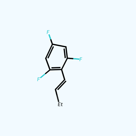 CCC=Cc1c(F)cc(F)cc1F